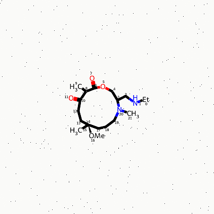 CCNCC1COC(=O)C(C)C(=O)CC[C@](C)(OC)CCCN1C